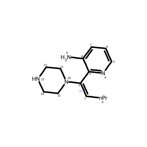 CCC/C=C(\c1ncccc1N)N1CCNCC1